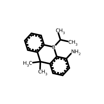 CC(C)B1c2ccccc2C(C)(C)c2cccc(N)c21